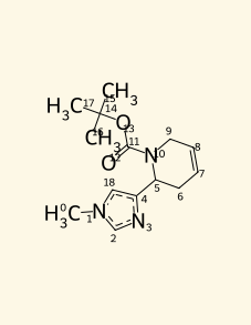 Cn1cnc(C2CC=CCN2C(=O)OC(C)(C)C)c1